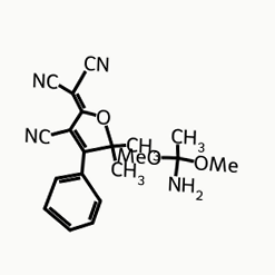 CC1(C)OC(=C(C#N)C#N)C(C#N)=C1c1ccccc1.COC(C)(N)OC